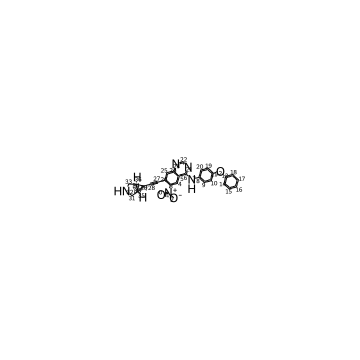 O=[N+]([O-])c1cc2c(Nc3ccc(Oc4ccccc4)cc3)ncnc2cc1C#C[C@H]1[C@H]2CNC[C@@H]12